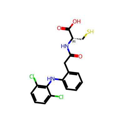 O=C(Cc1ccccc1Nc1c(Cl)cccc1Cl)N[C@@H](CS)C(=O)O